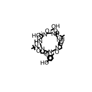 CC(C)C[C@@H]1NC(=O)[C@H]2CCCN2C(=O)[C@H](Cc2ccc(O)cc2)NC(=O)[C@@H]2CCCN2[C@H](C(=O)NC(C)(C)C)[C@H](C)NC(=O)[C@H]([C@@H](C)O)NC(=O)[C@H](CC(=O)O)NC1=O